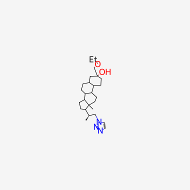 CCOCC1(O)CCC2C(CCC3C2CCC2(C)C3CCC2[C@H](C)Cn2ccnn2)C1